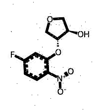 O=[N+]([O-])c1ccc(F)cc1O[C@@H]1COC[C@H]1O